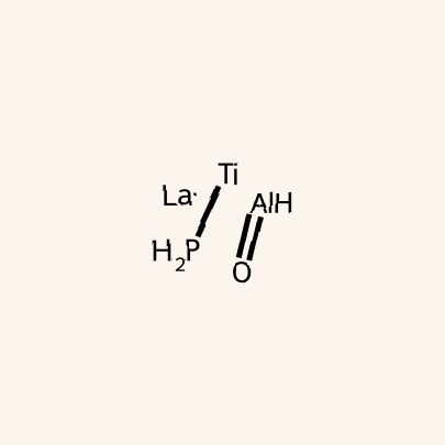 [La].[O]=[AlH].[PH2][Ti]